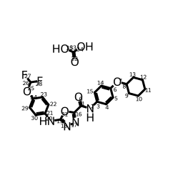 O=C(Nc1ccc(OC2CCCCC2)cc1)c1nnc(Nc2ccc(OC(F)F)cc2)o1.O=C(O)O